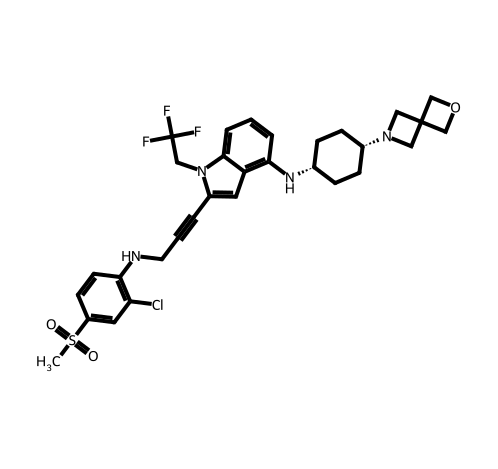 CS(=O)(=O)c1ccc(NCC#Cc2cc3c(N[C@H]4CC[C@@H](N5CC6(COC6)C5)CC4)cccc3n2CC(F)(F)F)c(Cl)c1